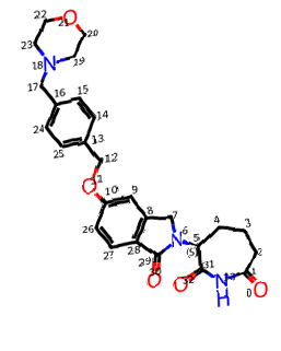 O=C1CCC[C@H](N2Cc3cc(OCc4ccc(CN5CCOCC5)cc4)ccc3C2=O)C(=O)N1